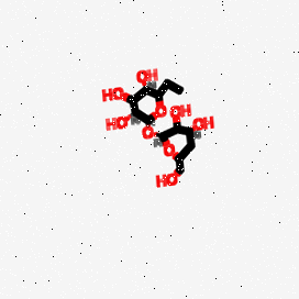 CCC1O[C@H](O[C@H]2OC(CO)C[C@H](O)C2O)[C@H](O)C(O)[C@@H]1O